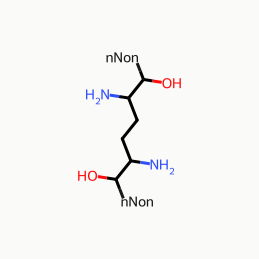 CCCCCCCCCC(O)C(N)CCC(N)C(O)CCCCCCCCC